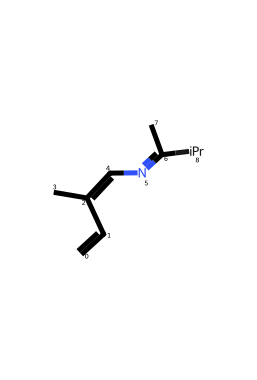 C=C/C(C)=C\N=C(/C)C(C)C